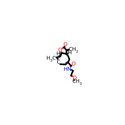 C=C1C(=O)O[C@@H]2/C=C(\C)CC/C=C(/C(=O)NCCOC)CC[C@@H]12